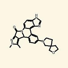 Cc1c2c(nn1C)C(=O)N1c3ccc4[nH]cnc4c3-c3cc(N4CCC5(CCOC5)C4)ccc3C21